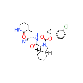 N#C[C@H](C[C@@H]1CCCNC1=O)NC(=O)[C@@H]1[C@H]2CCCC[C@H]2CN1C(=O)OC1(c2cccc(Cl)c2)CC1